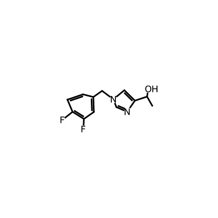 CC(O)c1cn(Cc2ccc(F)c(F)c2)cn1